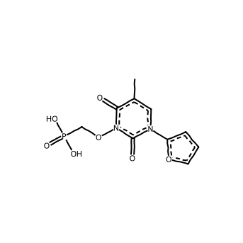 Cc1cn(-c2ccco2)c(=O)n(OCP(=O)(O)O)c1=O